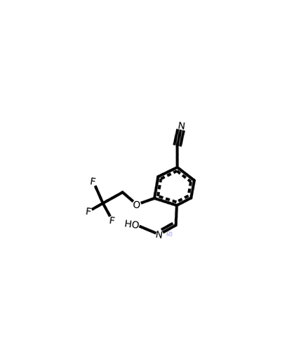 N#Cc1ccc(/C=N\O)c(OCC(F)(F)F)c1